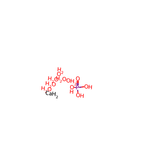 O.O.O.O.O.O.O=P(O)(O)O.[CaH2]